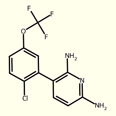 Nc1ccc(-c2cc(OC(F)(F)F)ccc2Cl)c(N)n1